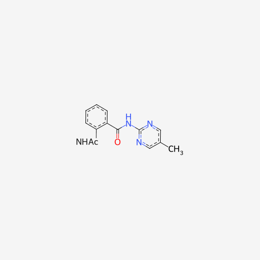 CC(=O)Nc1ccccc1C(=O)Nc1ncc(C)cn1